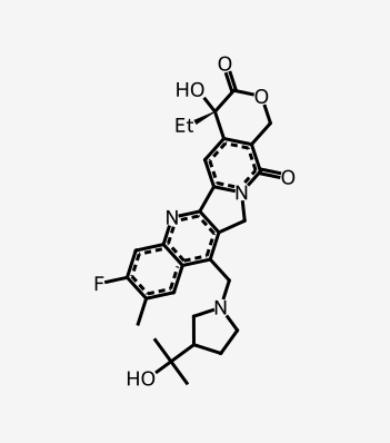 CC[C@@]1(O)C(=O)OCc2c1cc1n(c2=O)Cc2c-1nc1cc(F)c(C)cc1c2CN1CCC(C(C)(C)O)C1